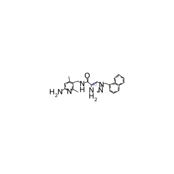 C=NN(/C=C(\N)C(=O)NCc1c(C)cc(N)nc1C)Cc1cccc2ccccc12